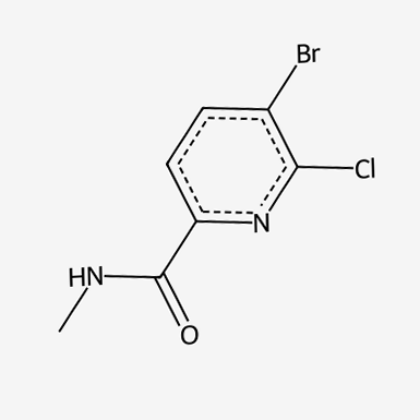 CNC(=O)c1ccc(Br)c(Cl)n1